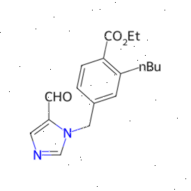 CCCCc1cc(Cn2cncc2C=O)ccc1C(=O)OCC